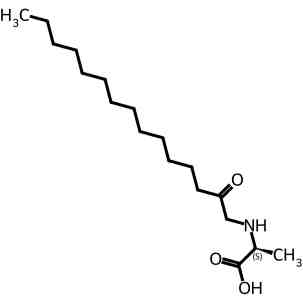 CCCCCCCCCCCCCC(=O)CN[C@@H](C)C(=O)O